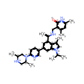 C=C(NCc1c(C)cc(C)[nH]c1=O)c1cc(-c2ccc(N3CC(C)NC[C@@H]3C)nc2)cc2c1c(C)cn2C(C)C